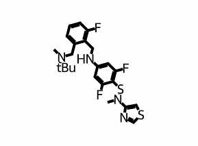 CN(Sc1c(F)cc(NCc2c(F)cccc2CN(C)C(C)(C)C)cc1F)c1cscn1